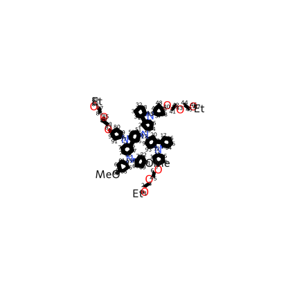 CCOCCOCCOc1ccc(-n2c3ccccc3c3cc(N(c4ccc5c(c4)c4ccccc4n5-c4ccc(OCCOCCOCC)cc4)c4ccc5c(c4)c4cc(N(C6=CC=C(OC)CC6)c6ccc(OC)cc6)ccc4n5-c4ccc(OCCOCCOCC)cc4)ccc32)cc1